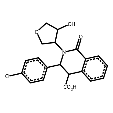 O=C(O)C1c2ccccc2C(=O)N(C2COCC2O)C1c1ccc(Cl)cc1